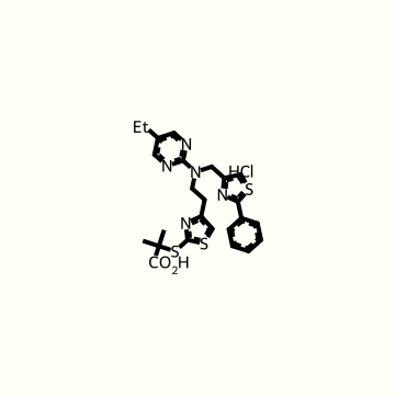 CCc1cnc(N(CCc2csc(SC(C)(C)C(=O)O)n2)Cc2csc(-c3ccccc3)n2)nc1.Cl